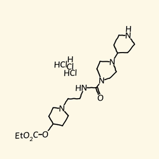 CCOC(=O)OC1CCN(CCNC(=O)N2CCN(C3CCNCC3)CC2)CC1.Cl.Cl.Cl